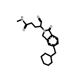 CNC(=O)CCC(C=O)N1Cc2cc(CC3CCCCC3)ccc2C1=O